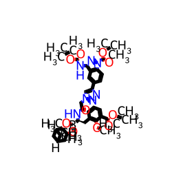 COc1c(C[C@H](NC(=O)Cn2cc(-c3ccc4c(c3)c(NC(=O)OC(C)(C)C)nn4C(=O)OC(C)(C)C)nn2)B2O[C@@H]3C[C@@H]4C[C@@H](C4(C)C)[C@]3(C)O2)cccc1C(=O)OC(C)(C)C